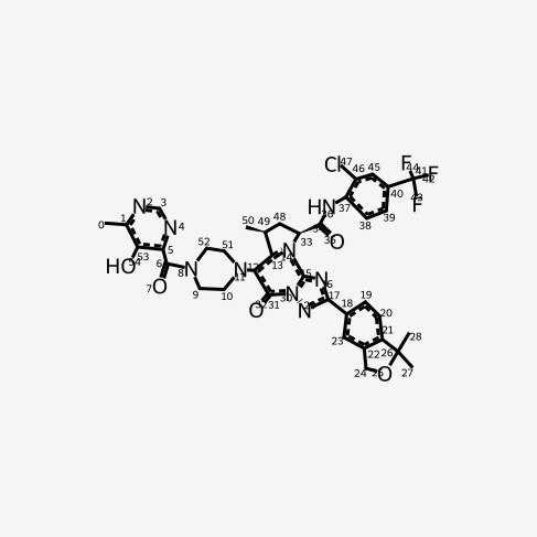 Cc1ncnc(C(=O)N2CCN(c3c4n(c5nc(-c6ccc7c(c6)COC7(C)C)nn5c3=O)[C@H](C(=O)Nc3ccc(C(F)(F)F)cc3Cl)C[C@@H]4C)CC2)c1O